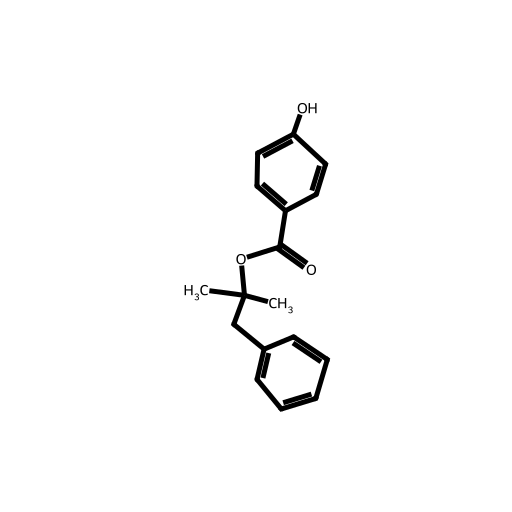 CC(C)(Cc1ccccc1)OC(=O)c1ccc(O)cc1